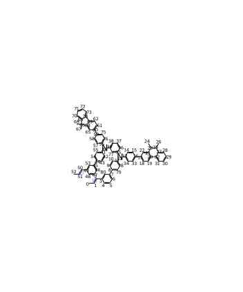 C/C=C/c1cccc(-c2ccc(N(c3ccc(-c4ccc5c(c4)C(C)C(C)c4ccccc4-5)cc3)c3cccc(N(c4ccc(-c5cccc(/C=C/C)c5)cc4)c4ccc(-c5ccc6c(c5)C(C)(C)c5ccccc5-6)cc4)c3)cc2)c1